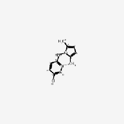 Cc1ccc(C)n1Nc1ccc(Cl)nn1